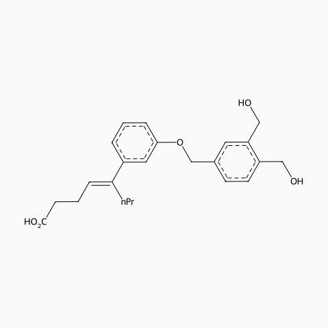 CCC/C(=C\CCC(=O)O)c1cccc(OCc2ccc(CO)c(CO)c2)c1